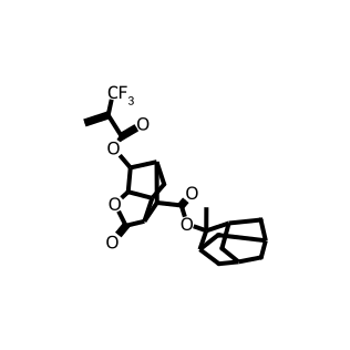 C=C(C(=O)OC1C2CC3C1OC(=O)C3C2C(=O)OC1(C)C2CC3CC(C2)CC1C3)C(F)(F)F